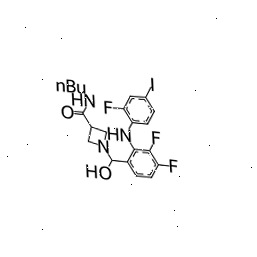 CCCCNC(=O)C1CN(C(O)c2ccc(F)c(F)c2Nc2ccc(I)cc2F)C1